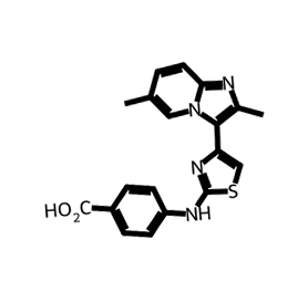 Cc1ccc2nc(C)c(-c3csc(Nc4ccc(C(=O)O)cc4)n3)n2c1